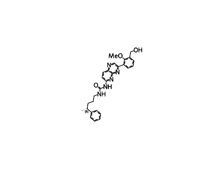 COc1c(CO)cccc1-c1cnc2ccc(NC(=O)NCCC[C@@H](C)c3ccccc3)nc2n1